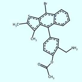 CC(=O)Oc1ccc(-c2c3ccccc3c(Br)c3sc(C)c(C)c23)cc1CN